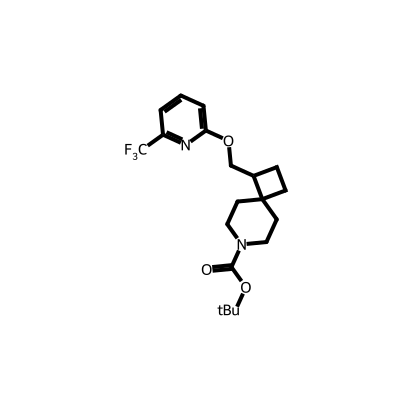 CC(C)(C)OC(=O)N1CCC2(CCC2COc2cccc(C(F)(F)F)n2)CC1